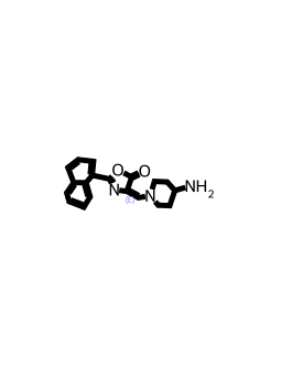 NC1CCN(/C=C2/N=C(c3cccc4ccccc34)OC2=O)CC1